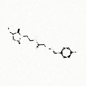 CSC1CC(=O)N(CCNC(=O)CON=Cc2ccc([18F])cc2)C1=O